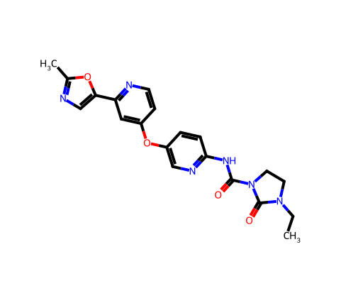 CCN1CCN(C(=O)Nc2ccc(Oc3ccnc(-c4cnc(C)o4)c3)cn2)C1=O